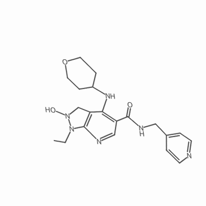 CCN1c2ncc(C(=O)NCc3ccncc3)c(NC3CCOCC3)c2CN1O